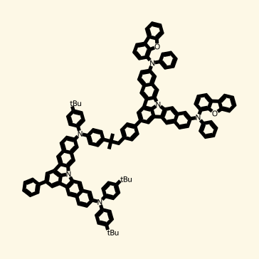 CC(C)(C)c1ccc(N(c2ccc(C(C)(C)C)cc2)c2ccc3cc4c5cc(-c6ccccc6)cc6c7cc8ccc(N(c9ccc(C(C)(C)C)cc9)c9ccc(C(C)(C)Cc%10ccc(-c%11cc%12c%13cc%14ccc(N(c%15ccccc%15)c%15cccc%16c%15oc%15ccccc%15%16)cc%14cc%13n%13c%14cc%15cc(N(c%16ccccc%16)c%16cccc%17c%16oc%16ccccc%16%17)ccc%15cc%14c(c%11)c%12%13)cc%10)cc9)cc8cc7n(c4cc3c2)c56)cc1